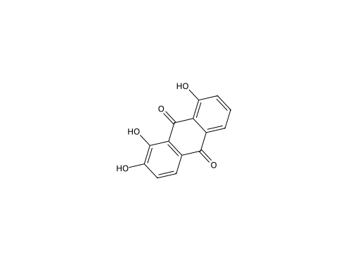 O=C1c2cccc(O)c2C(=O)c2c1ccc(O)c2O